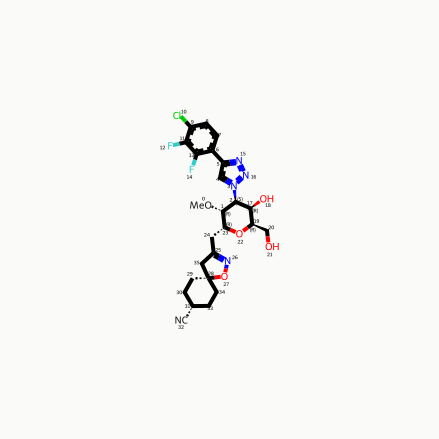 CO[C@@H]1[C@@H](n2cc(-c3ccc(Cl)c(F)c3F)nn2)[C@@H](O)[C@@H](CO)O[C@@H]1CC1=NO[C@]2(CC[C@@H](C#N)CC2)C1